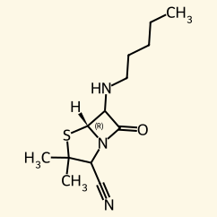 CCCCCNC1C(=O)N2C(C#N)C(C)(C)S[C@H]12